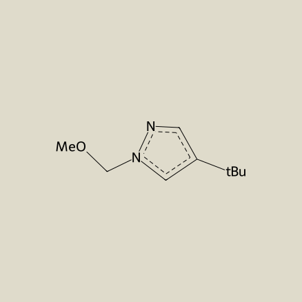 COCn1cc(C(C)(C)C)cn1